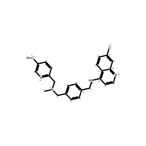 COc1ccc(CN(C)Cc2ccc(CNc3ccnc4cc(Cl)ccc34)cc2)nc1